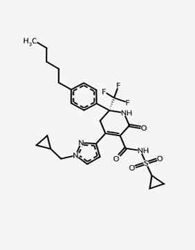 CCCCCc1ccc([C@]2(C(F)(F)F)CC(c3ccn(CC4CC4)n3)=C(C(=O)NS(=O)(=O)C3CC3)C(=O)N2)cc1